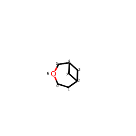 C1CC2CC(CO1)C2